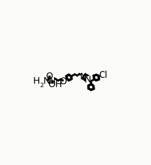 NC(=O)N(O)CCCOc1ccc(CCCN2CCN(C(c3ccccc3)c3ccc(Cl)cc3)CC2)cc1